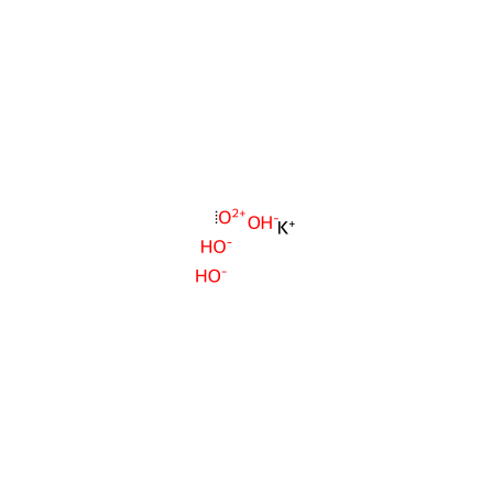 [K+].[O+2].[OH-].[OH-].[OH-]